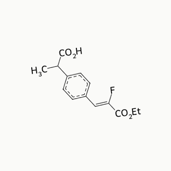 CCOC(=O)/C(F)=C/c1ccc(C(C)C(=O)O)cc1